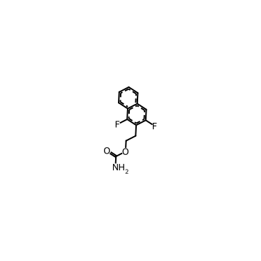 NC(=O)OCCc1c(F)cc2ccccc2c1F